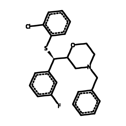 Fc1cccc([C@H](Sc2ccccc2Cl)C2CN(Cc3ccccc3)CCO2)c1